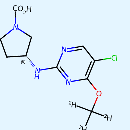 [2H]C([2H])([2H])Oc1nc(N[C@@H]2CCN(C(=O)O)C2)ncc1Cl